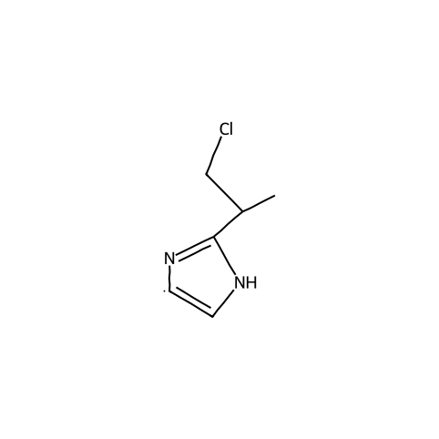 CC(CCl)c1n[c]c[nH]1